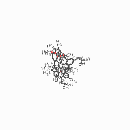 Cc1cc(C(C)(C)C)c(Cc2c(Oc3c(C(C)(C)C)cc(C)cc3C(C)(C)C)c(C)c(-c3c(C(C)(C)C)cc(C)cc3C(C)(C)C)c(Sc3cc(C)c(O)c(C)c3)c2-c2c(C(C)(C)C)cc(C)cc2C(C)(C)C)c(C(C)(C)C)c1.OP(O)O.OP(O)O